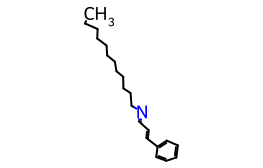 CCCCCCCCCCCCN=CC=Cc1ccccc1